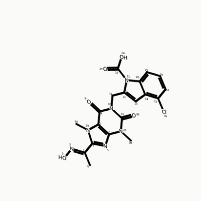 C/C(=N\O)c1nc2c(c(=O)n(Cc3cc4c(Cl)cccc4n3C(=O)O)c(=O)n2C)n1C